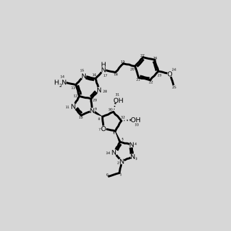 CCn1nnc([C@H]2O[C@@H](n3cnc4c(N)nc(NCCc5ccc(OC)cc5)nc43)[C@H](O)[C@@H]2O)n1